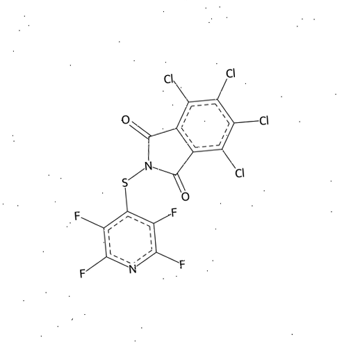 O=C1c2c(Cl)c(Cl)c(Cl)c(Cl)c2C(=O)N1Sc1c(F)c(F)nc(F)c1F